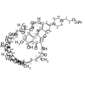 CCCOCCN1CCN(c2cc(O)c3nc4c5c6c7c(C)c(O)c5c(=O)c(c-4oc3c2)NC(=O)/C(C)=C\C=C\[C@H](C)[C@H](O)[C@@H](C)[C@@H](O)[C@@H](C)[C@H](OC(C)=O)[C@H](C)[C@@H](OC)/C=C/O[C@@](C)(O7)/C6=N\O)CC1